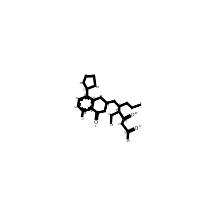 CCCC(CC1CC(=O)c2c(C)ccc(C3CCCC3)c2C1)C(CC)C(=O)CC(C)=O